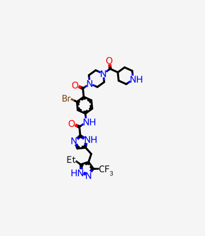 CCc1[nH]nc(C(F)(F)F)c1Cc1cnc(C(=O)Nc2ccc(C(=O)N3CCN(C(=O)C4CCNCC4)CC3)c(Br)c2)[nH]1